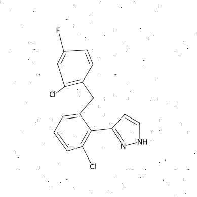 Fc1ccc(Cc2cccc(Cl)c2-c2cc[nH]n2)c(Cl)c1